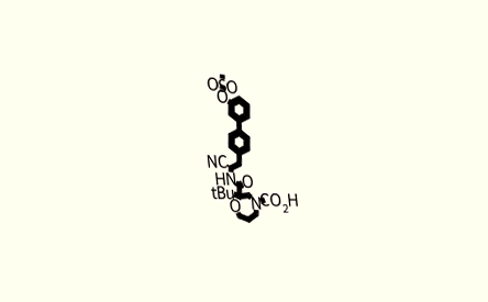 CC(C)(C)C1(C(=O)N[C@H](C#N)Cc2ccc(-c3cccc(OS(C)(=O)=O)c3)cc2)CN(C(=O)O)CCCO1